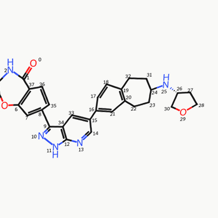 O=C1NCCOc2cc(-c3n[nH]c4ncc(-c5ccc6c(c5)CCC(N[C@@H]5CCOC5)CC6)cc34)ccc21